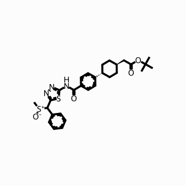 C[S+]([O-])C(c1ccccc1)c1nnc(NC(=O)c2ccc([C@H]3CC[C@H](CC(=O)OC(C)(C)C)CC3)cc2)s1